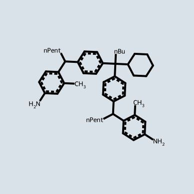 CCCCCC(c1ccc(C(CCCC)(c2ccc(C(CCCCC)c3ccc(N)cc3C)cc2)C2CCCCC2)cc1)c1ccc(N)cc1C